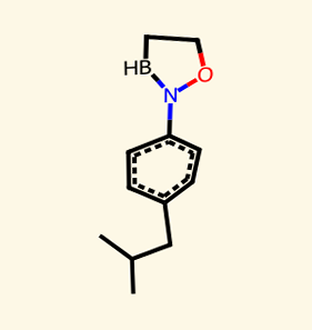 CC(C)Cc1ccc(N2BCCO2)cc1